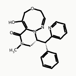 CN1C[C@@H]([C@@H](c2ccccc2)c2ccccn2)N2/N=C\COC/C(O)=C\2C1=O